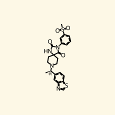 C[C@H](c1ccc2scnc2c1)N1CCC2(CC1)NC(=O)N(c1cccc(S(C)(=O)=O)c1)C2=O